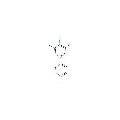 Cc1ccc(-c2cc(C)c(Cl)c(C)c2)cc1